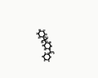 CC(C1CCCCC1)C1CCC(C(C)(C)C2CCCCC2)CC1